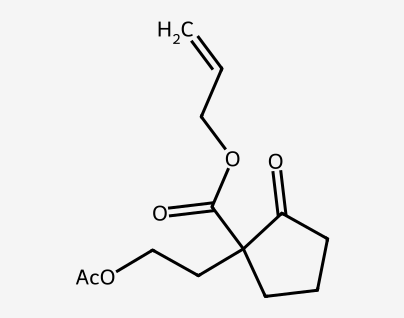 C=CCOC(=O)C1(CCOC(C)=O)CCCC1=O